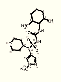 CC1CCCC(C)C1NC(=O)NS(=O)(=O)N(c1cnn(C)c1)C1CCOCC1